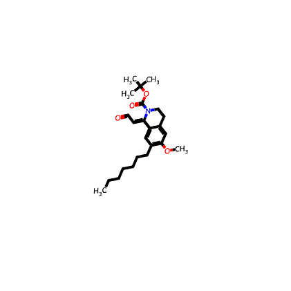 CCCCCCCc1cc2c(cc1OC)CCN(C(=O)OC(C)(C)C)/C2=C\C=O